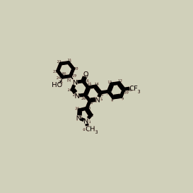 Cn1cc(-c2nc(-c3ccc(C(F)(F)F)cc3)cc3c(=O)n([C@H]4CCCC[C@H]4O)cnc23)cn1